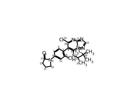 CC(Nc1c(-c2ccc(N3CCCC3=O)cc2Cl)c(Cl)nc2ncnn12)C(C)(C)C